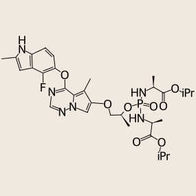 Cc1cc2c(F)c(Oc3ncnn4cc(OC[C@H](C)OP(=O)(N[C@@H](C)C(=O)OC(C)C)N[C@@H](C)C(=O)OC(C)C)c(C)c34)ccc2[nH]1